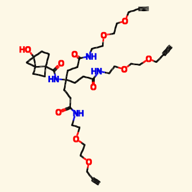 C#CCOCCOCCNC(=O)CCC(CCC(=O)NCCOCCOCC#C)(CCC(=O)NCCOCCOCC#C)NC(=O)C12CCC3(O)CC31CC2